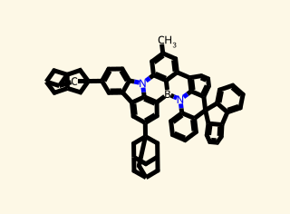 Cc1cc2c3c(c1)-n1c4ccc(C56CC7CC8CC7(C5)C8C6)cc4c4cc(C56CC7CC(CC(C7)C5)C6)cc(c41)B3N1c3ccccc3C3(c4ccccc4-c4ccccc43)c3cccc-2c31